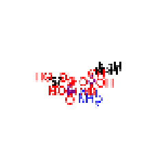 N.N.O=P(O)(O)O.O=P(O)(O)O.O=[Si](O)O.[NaH].[NaH]